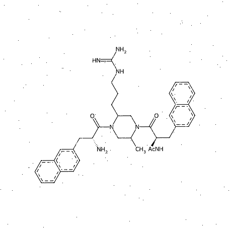 CC(=O)N[C@H](Cc1ccc2ccccc2c1)C(=O)N1CC(CCCNC(=N)N)N(C(=O)[C@H](N)Cc2ccc3ccccc3c2)CC1C